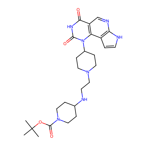 CC(C)(C)OC(=O)N1CCC(NCCN2CCC(n3c(=O)[nH]c(=O)c4cnc5[nH]ccc5c43)CC2)CC1